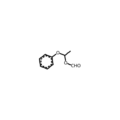 CC(OC=O)Oc1ccccc1